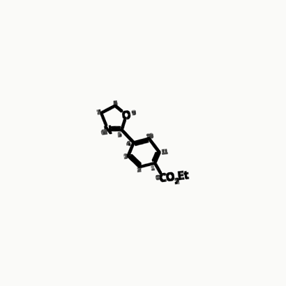 CCOC(=O)c1ccc(C2=NCCO2)cc1